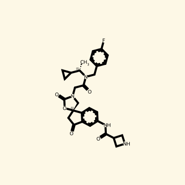 C[C@@H](C1CC1)N(Cc1ccc(F)cc1)C(=O)CN1C[C@@]2(CC(=O)c3cc(NC(=O)C4CNC4)ccc32)OC1=O